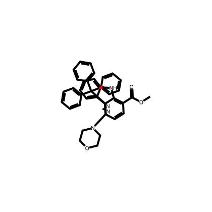 COC(=O)C1=C2Nc3ccccc3C23C(C=C1)N(N1CCOCC1)CN3C(c1ccccc1)(c1ccccc1)c1ccccc1